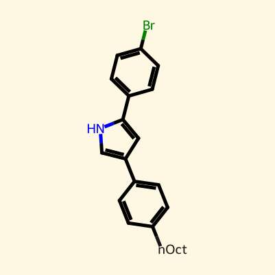 CCCCCCCCc1ccc(-c2c[nH]c(-c3ccc(Br)cc3)c2)cc1